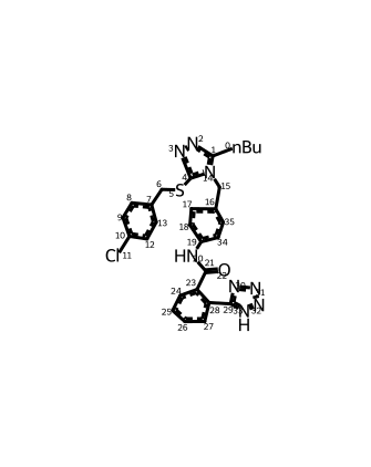 CCCCc1nnc(SCc2ccc(Cl)cc2)n1Cc1ccc(NC(=O)c2ccccc2-c2nnn[nH]2)cc1